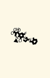 Cc1ccccc1C=NC1CCN(c2c(F)cc3c(=O)c(C(=O)O)cn(C4=CC4)c3c2Cl)C1